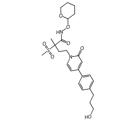 CC(CCn1ccc(-c2ccc(CCCO)cc2)cc1=O)(C(=O)NOC1CCCCO1)S(C)(=O)=O